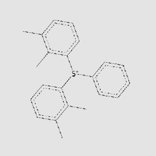 Cc1cccc([S+](c2ccccc2)c2cccc(C)c2C)c1C